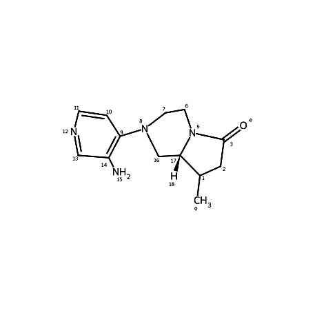 CC1CC(=O)N2CCN(c3ccncc3N)C[C@@H]12